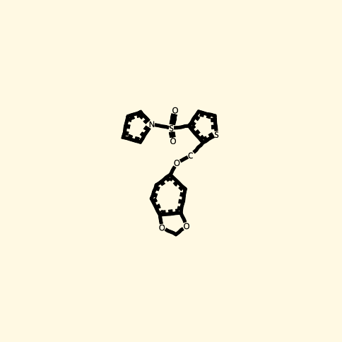 O=S(=O)(c1ccsc1COc1ccc2c(c1)OCO2)n1cccc1